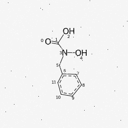 O=C(O)N(O)Cc1ccccc1